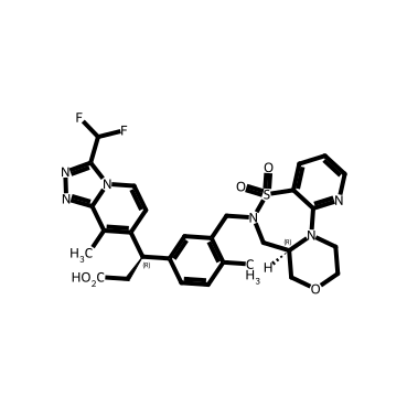 Cc1ccc([C@@H](CC(=O)O)c2ccn3c(C(F)F)nnc3c2C)cc1CN1C[C@@H]2COCCN2c2ncccc2S1(=O)=O